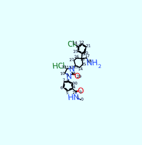 CNC(=O)c1cccc(N2CCN(C3CCC(CN)(c4cccc(Cl)c4)CC3)C2=O)c1.Cl